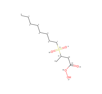 CCCCCCCCS(=O)(=O)C(C)CC(=O)OO